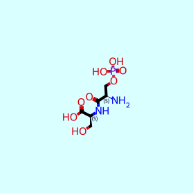 N[C@@H](COP(=O)(O)O)C(=O)N[C@@H](CO)C(=O)O